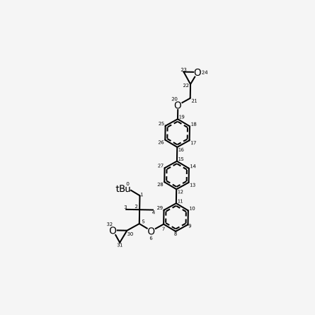 CC(C)(C)CC(C)(C)C(Oc1cccc(-c2ccc(-c3ccc(OCC4CO4)cc3)cc2)c1)C1CO1